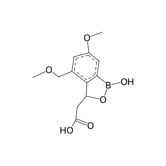 COCc1cc(OC)cc2c1C(CC(=O)O)OB2O